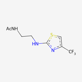 CC(=O)NCCNc1nc(C(F)(F)F)cs1